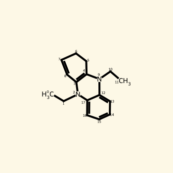 CCN1C2=C(CCC=C2)N(CC)c2ccccc21